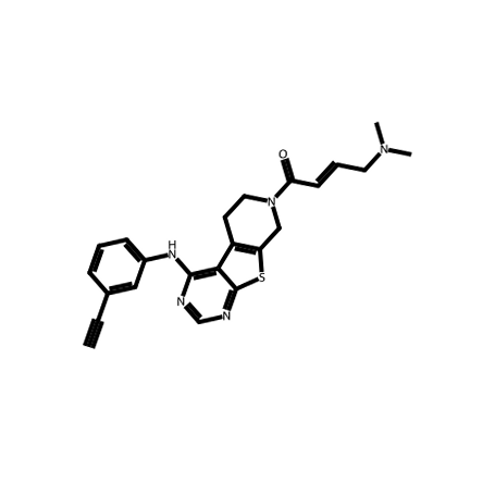 C#Cc1cccc(Nc2ncnc3sc4c(c23)CCN(C(=O)C=CCN(C)C)C4)c1